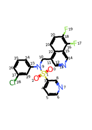 O=S(=O)(c1cccnc1)N(Cc1cncc2c(F)c(F)ccc12)c1cccc(Cl)c1